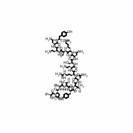 CC[C@H](C)[C@H](NC(=O)[C@@H]1C[C@@H](O)CN1C(=O)[C@@H](N)C(C)C)C(=O)N[C@H](C(=O)N[C@@H](Cc1ccc(O)cc1)C(=O)N[C@H](C(=O)N[C@@H](CC(N)=O)C(=O)N[C@@H](CCCNC(=N)N)C(=O)N[C@@H](CCN)C(=O)N[C@@H](CO)C(=O)N[C@H](CCN)C(=O)N[C@@H](CCCCN)C(=O)N[C@@H](CS)C(=O)N[C@@H](CCN)C(=O)N[C@@H](CCN)C(=O)N[C@@H](Cc1ccc(O)cc1)C(=O)O)C(C)(C)S)[C@@H](C)O